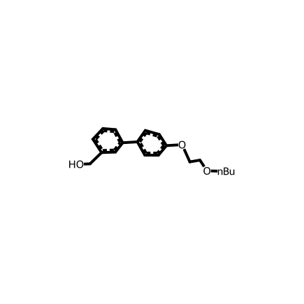 CCCCOCCOc1ccc(-c2cccc(CO)c2)cc1